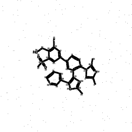 Cc1cn(-c2ccc(-c3cc(F)c(CO)c(S(C)(=O)=O)c3)cc2-c2nc(C)oc2-c2cccnc2)c(C)n1